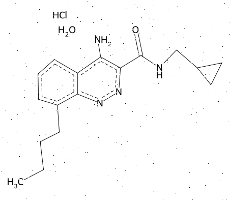 CCCCc1cccc2c(N)c(C(=O)NCC3CC3)nnc12.Cl.O